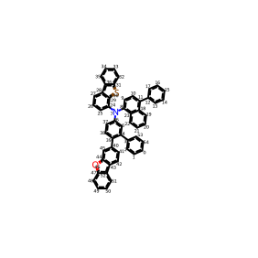 c1ccc(-c2cc(N(c3ccc(-c4ccccc4)c4ccccc34)c3cccc4c3sc3ccccc34)ccc2-c2ccc3c(c2)oc2ccccc23)cc1